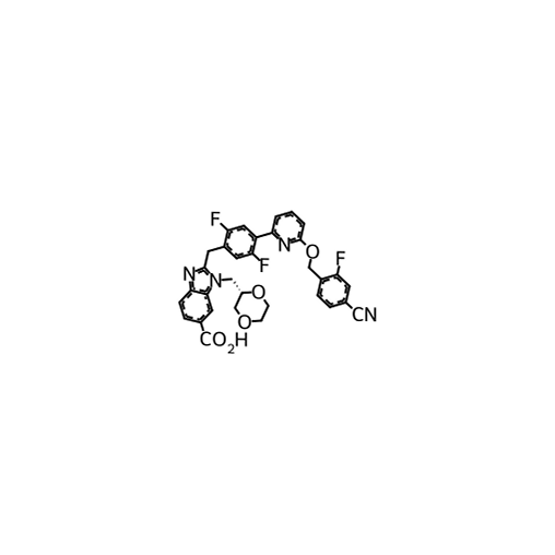 N#Cc1ccc(COc2cccc(-c3cc(F)c(Cc4nc5ccc(C(=O)O)cc5n4C[C@H]4COCCO4)cc3F)n2)c(F)c1